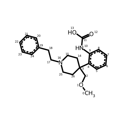 COCC1(c2ccccc2NC(=O)O)CCN(CCc2ccccc2)CC1